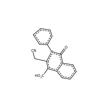 N#CCc1c(C(=O)O)c2ccccc2c(=O)n1-c1ccccc1